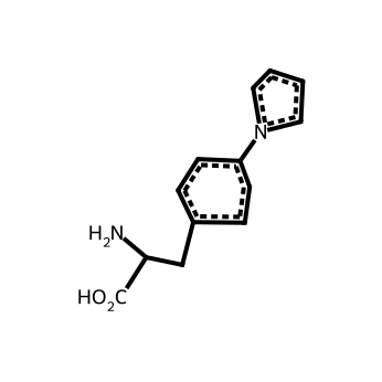 NC(Cc1ccc(-n2cccc2)cc1)C(=O)O